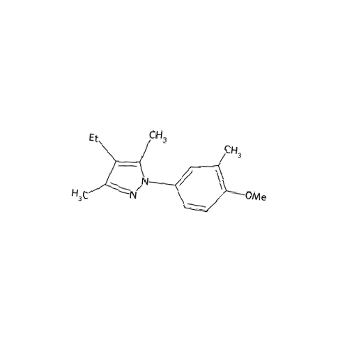 CCc1c(C)nn(-c2ccc(OC)c(C)c2)c1C